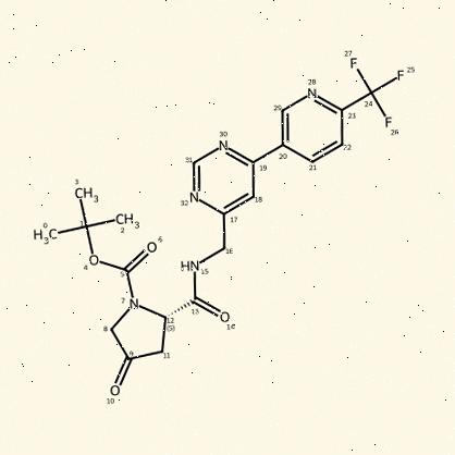 CC(C)(C)OC(=O)N1CC(=O)C[C@H]1C(=O)NCc1cc(-c2ccc(C(F)(F)F)nc2)ncn1